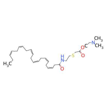 CC/C=C\C/C=C\C/C=C\C/C=C\C/C=C\C/C=C\CC(=O)NCCSCC(=O)OCCN(C)C